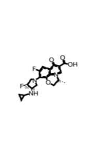 C[C@@H]1COc2c(N3C[C@H](NC4CC4)[C@@H](F)C3)c(F)cc3c(=O)c(C(=O)O)cn1c23